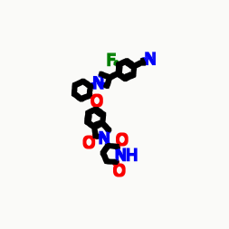 N#Cc1ccc(C2CN(C3CCCCC3Oc3ccc4c(c3)CN(C3CCC(=O)NC3=O)C4=O)C2)c(F)c1